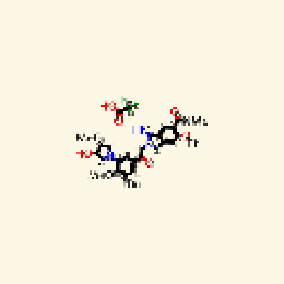 CCOc1cc2c(cc1C(=O)NC)C(=N)N(CC(=O)c1cc(N3C[C@@H](O)[C@H](OC)C3)c(OC)c(C(C)(C)C)c1)C2.O=C(O)C(F)(F)F